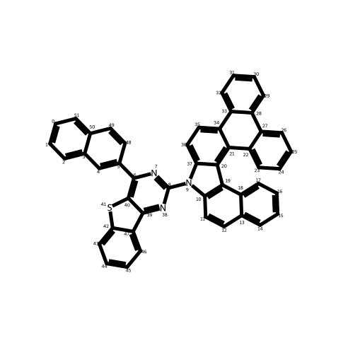 c1ccc2cc(-c3nc(-n4c5ccc6ccccc6c5c5c6c7ccccc7c7ccccc7c6ccc54)nc4c3sc3ccccc34)ccc2c1